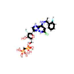 C[C@H](Nc1cc(Cl)nn2c([C@@H]3O[C@H](COP(=O)(O)CP(=O)(O)O)[C@@H](O)[C@@H]3F)cnc12)c1ccccc1F